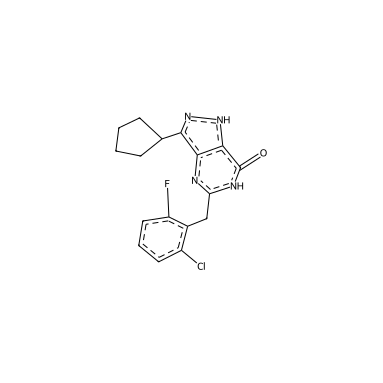 O=c1[nH]c(Cc2c(F)cccc2Cl)nc2c(C3CCCC3)n[nH]c12